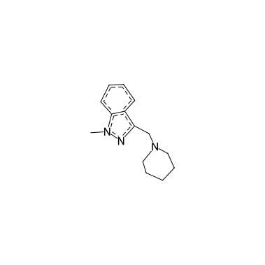 Cn1nc(CN2CCCCC2)c2ccccc21